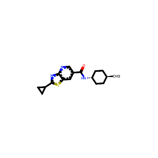 O=C[C@H]1CC[C@H](NC(=O)c2cnc3nc(C4CC4)sc3c2)CC1